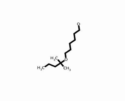 CCCC(C)(C)OCCCCCC[O]